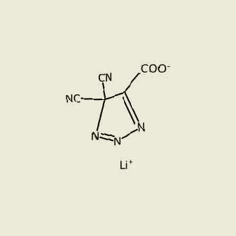 N#CC1(C#N)N=NN=C1C(=O)[O-].[Li+]